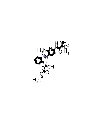 CCOC(=O)OC(C)Oc1ccccc1/N=N/c1ccc(NC(=O)[C@H](C)N)nc1N